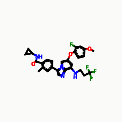 COc1ccc(Oc2cc(NCCC(F)(F)F)c3ncc(-c4ccc(C(=O)NC5CC5)c(C)c4)n3c2)c(F)c1